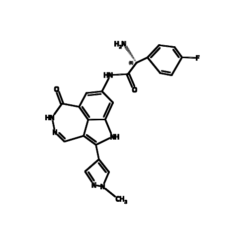 Cn1cc(-c2[nH]c3cc(NC(=O)[C@H](N)c4ccc(F)cc4)cc4c3c2C=NNC4=O)cn1